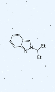 CCC(CC)n1cc2ccccc2n1